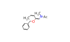 C/C=C\C(=C/N(C)C(C)=O)OCc1ccccc1